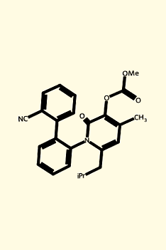 COC(=O)Oc1c(C)cc(CC(C)C)n(-c2ccccc2-c2ccccc2C#N)c1=O